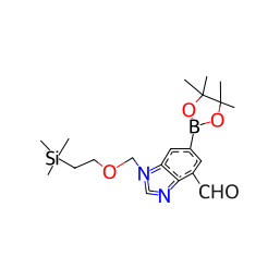 CC1(C)OB(c2cc(C=O)c3ncn(COCC[Si](C)(C)C)c3c2)OC1(C)C